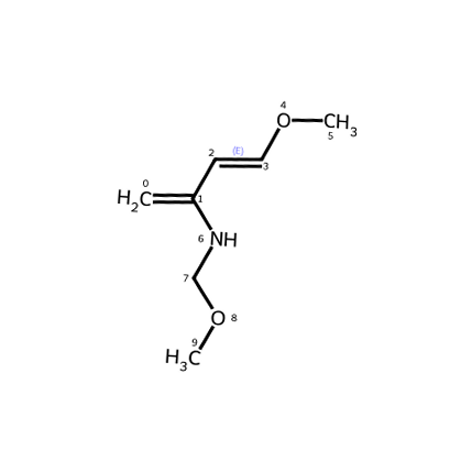 C=C(/C=C/OC)NCOC